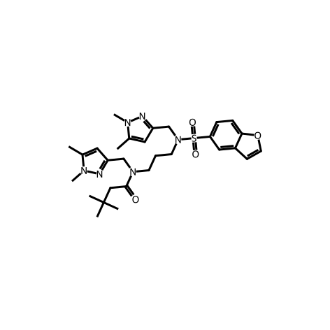 Cc1cc(CN(CCCN(Cc2cc(C)n(C)n2)S(=O)(=O)c2ccc3occc3c2)C(=O)CC(C)(C)C)nn1C